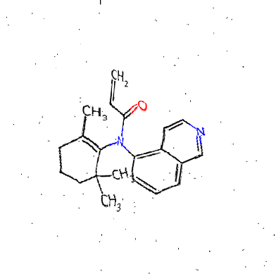 C=CC(=O)N(C1=C(C)CCCC1(C)C)c1cccc2cnccc12